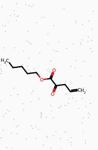 C=CCC(=O)C(=O)OCCCCC